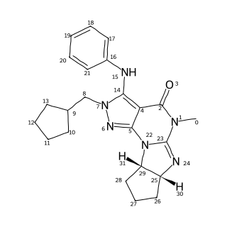 CN1C(=O)c2c(nn(CC3CCCC3)c2Nc2ccccc2)N2C1=N[C@@H]1CCC[C@@H]12